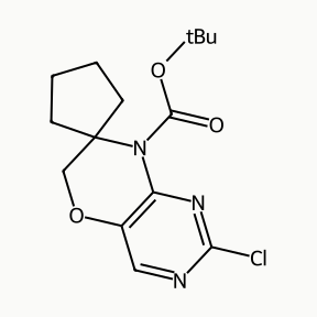 CC(C)(C)OC(=O)N1c2nc(Cl)ncc2OCC12CCCC2